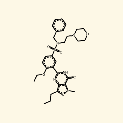 CCCc1nn(C)c2c(=O)[nH]c(-c3cc(S(=O)(=O)N(CCN4CCOCC4)Cc4ccccc4)ccc3OCC)nc12